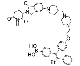 CC/C(=C(/c1ccc(OCCN2CCN(CC3CCN(c4ccc5c(c4)CN(C4CCC(=O)NC4=O)C5=O)CC3)CC2)cc1)c1ccc(B(O)O)cc1)c1ccccc1